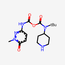 Cn1nc(NC(=O)OC(=O)N(C2CCNCC2)C(C)(C)C)ccc1=O